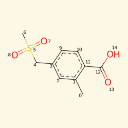 Cc1cc(CS(C)(=O)=O)ccc1C(=O)O